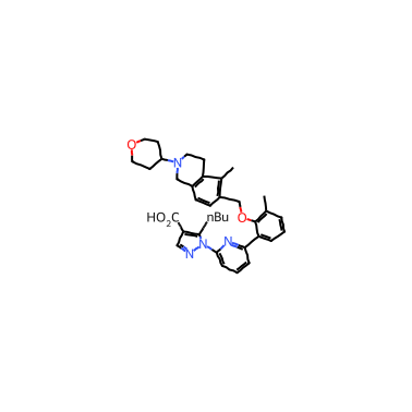 CCCCc1c(C(=O)O)cnn1-c1cccc(-c2cccc(C)c2OCc2ccc3c(c2C)CCN(C2CCOCC2)C3)n1